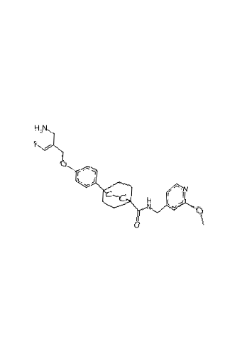 COc1cc(CNC(=O)C23CCC(c4ccc(OCC(=CF)CN)cc4)(CC2)CC3)ccn1